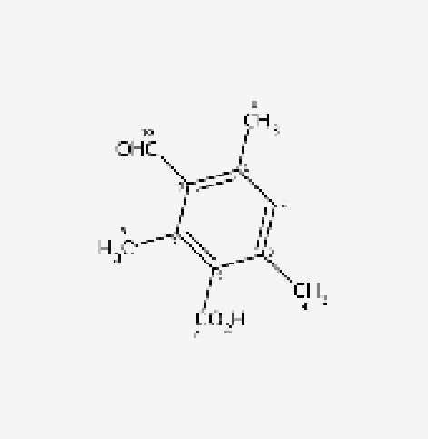 Cc1cc(C)c(C(=O)O)c(C)c1C=O